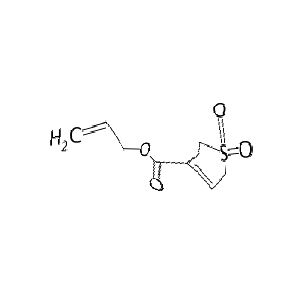 C=CCOC(=O)C1=CCS(=O)(=O)C1